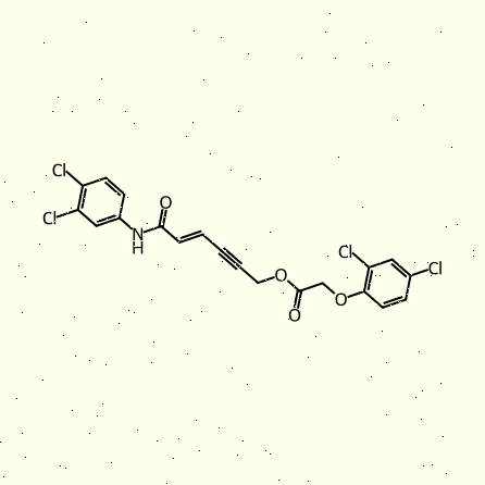 O=C(C=CC#CCOC(=O)COc1ccc(Cl)cc1Cl)Nc1ccc(Cl)c(Cl)c1